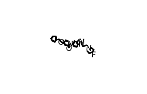 O=c1cc(OCc2ccccc2)ccn1-c1ccc2c(cnn2CCN2CCC(F)CC2)c1